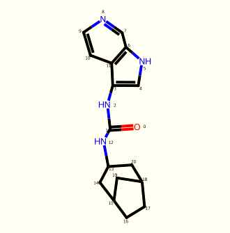 O=C(Nc1c[nH]c2cnccc12)NC1CC2CCC(C2)C1